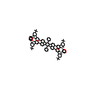 CC(C)(C)C1CCC2(C)C(C1)c1cc(-c3ccc4c5c(-c6ccccc6)c6c7ccc(-c8ccc9c(c8)C8CC(C(C)(C)C)CCC8(C)N9c8ccccc8)c8c(-c9ccc%10c(c9)C9CC(C(C)(C)C)CCC9(C)N%10c9ccccc9)ccc(c6c(-c6ccccc6)c5c5ccc(-c6ccc9c(c6)C6CC(C(C)(C)C)CCC6(C)N9c6ccccc6)c3c45)c87)ccc1N2c1ccccc1